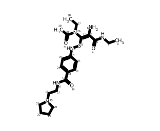 CCNC(=O)/C(N)=C(\SNc1ccc(C(=O)NCCN2CCCC2)cc1)N(CC)C(C)=O